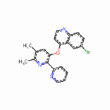 Cc1cc(Oc2ccnc3ccc(Br)cc23)c(-c2ccccn2)nc1C